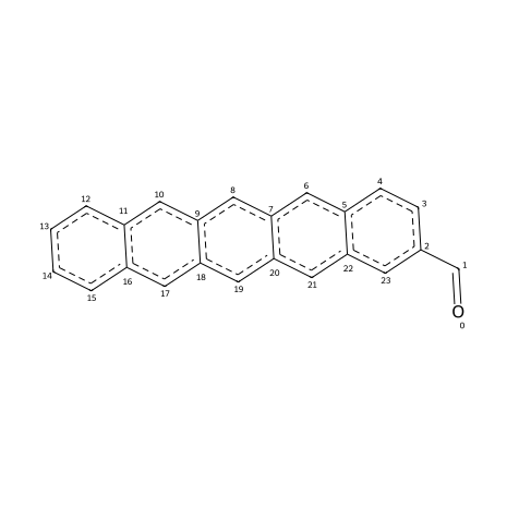 O=Cc1ccc2cc3cc4cc5ccccc5cc4cc3cc2c1